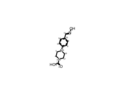 O=C(O)N1CCN(c2ccc(C=NO)cc2)CC1